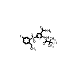 CCc1ccc(F)cc1S(=O)(=O)c1cc(C(N)=O)c(NC(=O)C(C)(C)O)s1